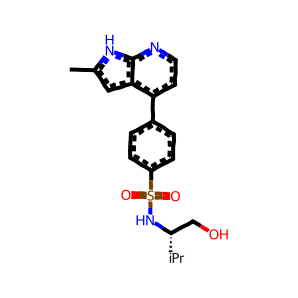 Cc1cc2c(-c3ccc(S(=O)(=O)N[C@H](CO)C(C)C)cc3)ccnc2[nH]1